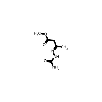 COC(=O)CC(C)=NNC(N)=O